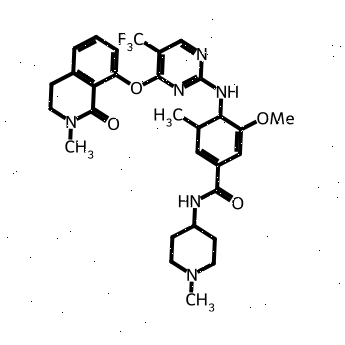 COC1=CC(C(=O)NC2CCN(C)CC2)=CC(C)C1Nc1ncc(C(F)(F)F)c(Oc2cccc3c2C(=O)N(C)CC3)n1